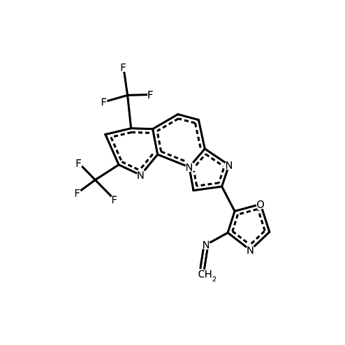 C=Nc1ncoc1-c1cn2c(ccc3c(C(F)(F)F)cc(C(F)(F)F)nc32)n1